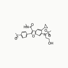 CNC(=O)c1c(-c2ccc([S+](C)[O-])cc2)oc2cc(N(CCO)S(C)(=O)=O)c(C3CC3)cc12